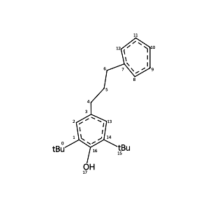 CC(C)(C)c1cc(CCCc2ccccc2)cc(C(C)(C)C)c1O